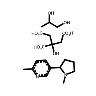 CC(O)CO.Cc1ccc(C2CCCN2C)cn1.O=C(O)CC(O)(CC(=O)O)C(=O)O